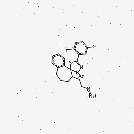 CC(=O)N1N=C(c2cc(F)ccc2F)SC12c1ccccc1CCCC2CCN=N